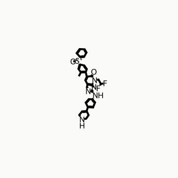 Cc1cc([S+]([O-])c2ccccc2)ccc1-c1cc2cnc(Nc3ccc(C4=CCNCC4)cc3)nc2n(CC(F)F)c1=O